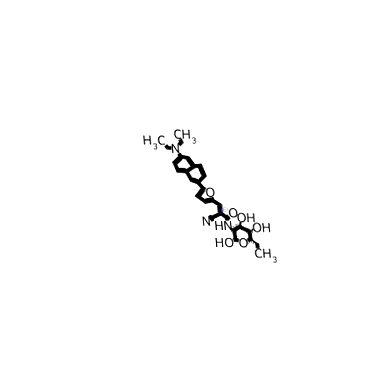 CC[C@H]1OC(O)[C@H](NC(=O)/C(C#N)=C/c2ccc(-c3ccc4cc(N(CC)CC)ccc4c3)o2)[C@@H](O)[C@@H]1O